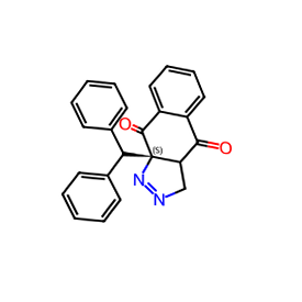 O=C1c2ccccc2C(=O)[C@@]2(C(c3ccccc3)c3ccccc3)N=NCC12